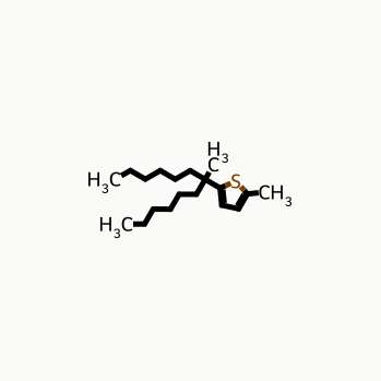 CCCCCCC(C)(CCCCCC)c1ccc(C)s1